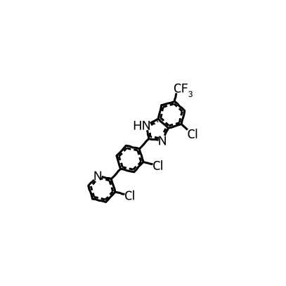 FC(F)(F)c1cc(Cl)c2nc(-c3ccc(-c4ncccc4Cl)cc3Cl)[nH]c2c1